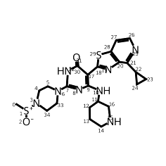 C[S+]([O-])N1CCN(c2nc(NC3CCCNC3)c(-c3nc4c(C5CC5)nccc4s3)c(=O)[nH]2)CC1